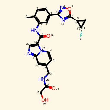 Cc1ccc(-c2noc([C@H]3C[C@@H]3F)n2)cc1NC(=O)c1cnc2cc(CNC(=O)CO)ccn12